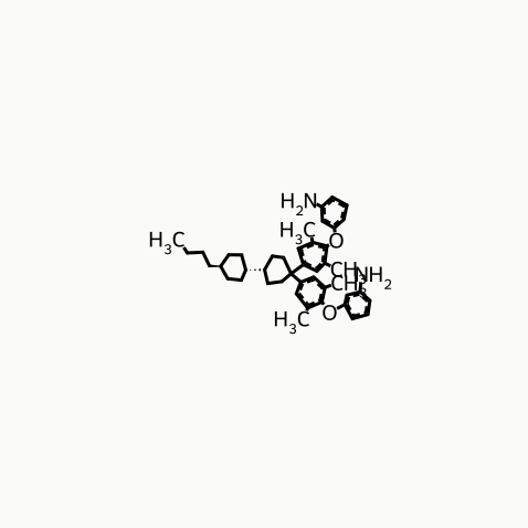 CCCC[C@H]1CC[C@H](C2CCC(c3cc(C)c(Oc4cccc(N)c4)c(C)c3)(c3cc(C)c(Oc4cccc(N)c4)c(C)c3)CC2)CC1